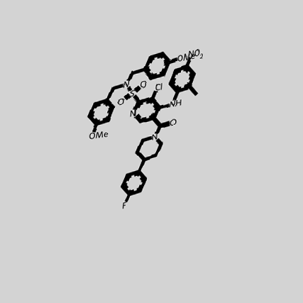 COc1ccc(CN(Cc2ccc(OC)cc2)S(=O)(=O)c2ncc(C(=O)N3CCC(c4ccc(F)cc4)CC3)c(Nc3ccc([N+](=O)[O-])cc3C)c2Cl)cc1